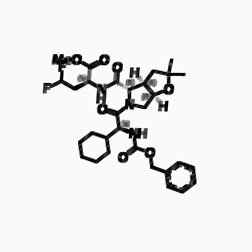 COC(=O)[C@H](CC(F)F)NC(=O)[C@@H]1[C@H]2CC(C)(C)O[C@H]2CN1C(=O)[C@@H](NC(=O)OCc1ccccc1)C1CCCCC1